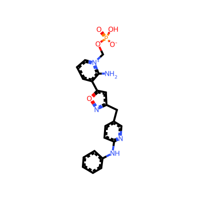 Nc1c(-c2cc(Cc3ccc(Nc4ccccc4)nc3)no2)ccc[n+]1COP(=O)([O-])O